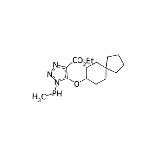 CCOC(=O)c1nnn(PC)c1OC1CCC2(CCCC2)CC1